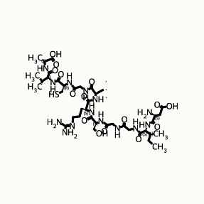 [C]C(NC(=O)[C@H](CCCN=C(N)N)NC(=O)[C@H](CO)NC(=O)CNC(=O)CNC(=O)[C@@H](NC(=O)[C@@H](N)CC(=O)O)[C@@H](C)CC)C(=O)NCC(=O)N[C@@H](CS)C(=O)N[C@H](C(=O)N[C@@H](C)C(=O)O)C(C)C